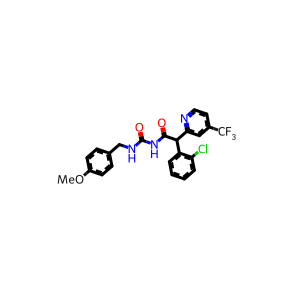 COc1ccc(CNC(=O)NC(=O)C(c2cc(C(F)(F)F)ccn2)c2ccccc2Cl)cc1